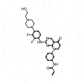 C=CC(=O)Nc1cccc(-n2ccc(=O)c3cnc(Nc4ccc(N5CCN(CCO)CC5)c(F)c4F)nc32)c1